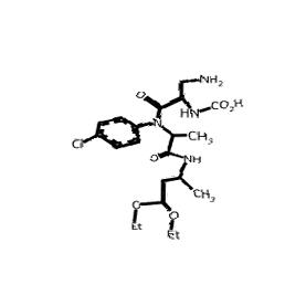 CCOC(CC(C)NC(=O)C(C)N(C(=O)C(CN)NC(=O)O)c1ccc(Cl)cc1)OCC